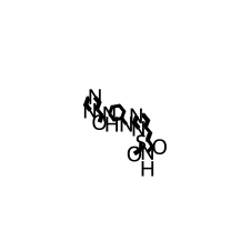 O=C1NC(=O)C(=Cc2ccnc(NC3CCCN(C(=O)c4cnccn4)C3)n2)S1